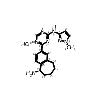 Cl.Cn1ccc(Nc2ncnc(-c3ccc4c(c3)CCCC[C@H]4N)n2)n1